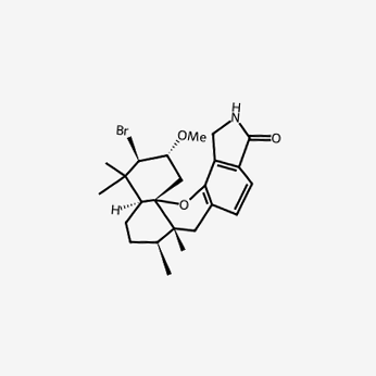 CO[C@@H]1C[C@@]23Oc4c(ccc5c4CNC5=O)C[C@]2(C)[C@@H](C)CC[C@H]3C(C)(C)[C@H]1Br